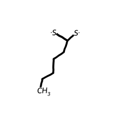 CCCCCC([S])[S]